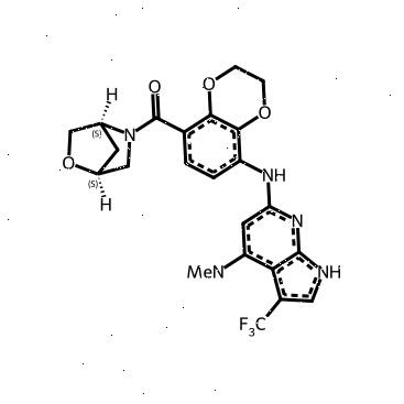 CNc1cc(Nc2ccc(C(=O)N3C[C@@H]4C[C@H]3CO4)c3c2OCCO3)nc2[nH]cc(C(F)(F)F)c12